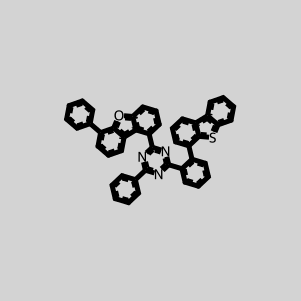 c1ccc(-c2nc(-c3ccccc3-c3cccc4c3sc3ccccc34)nc(-c3cccc4oc5c(-c6ccccc6)cccc5c34)n2)cc1